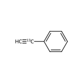 C#[13C]c1ccccc1